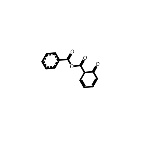 O=C(OC(=O)C1C=CC=CC1=O)c1ccccc1